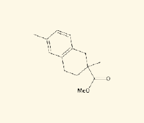 COC(=O)C1(C)CCc2cc(C)ccc2C1